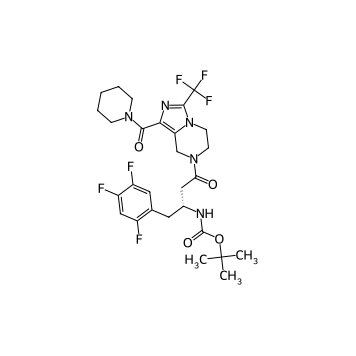 CC(C)(C)OC(=O)N[C@@H](CC(=O)N1CCn2c(C(F)(F)F)nc(C(=O)N3CCCCC3)c2C1)Cc1cc(F)c(F)cc1F